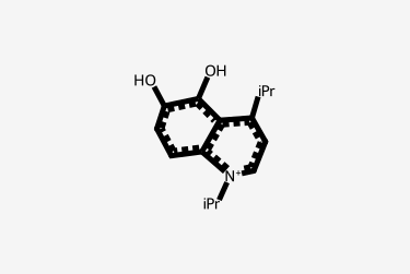 CC(C)c1cc[n+](C(C)C)c2ccc(O)c(O)c12